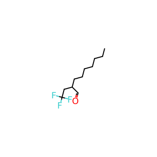 CCCCCCCC(C=O)CC(F)(F)F